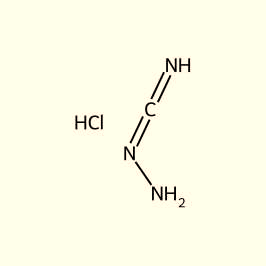 Cl.N=C=NN